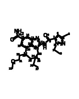 CCn1nc(C)cc1C(=O)Nc1nc2cc(C(N)=O)cc3c2n1C[C@](C)(CC)CN3CCOC